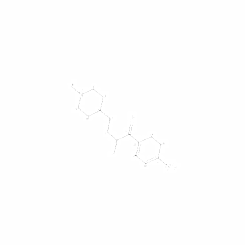 CC(CCC1CCN(C)CC1)C(=O)C1=CC=C(N)CC1